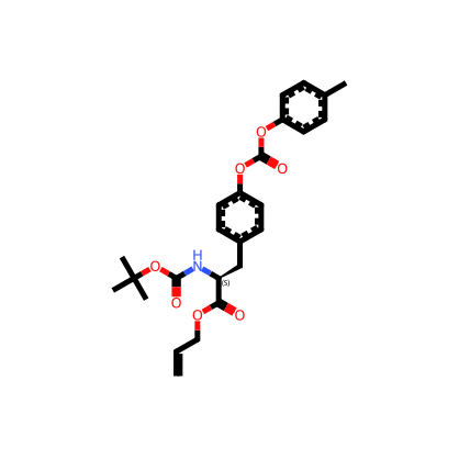 C=CCOC(=O)[C@H](Cc1ccc(OC(=O)Oc2ccc(C)cc2)cc1)NC(=O)OC(C)(C)C